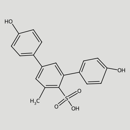 Cc1cc(-c2ccc(O)cc2)cc(-c2ccc(O)cc2)c1S(=O)(=O)O